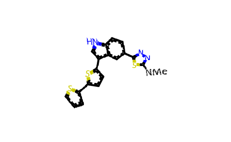 CNc1nnc(-c2ccc3[nH]cc(-c4ccc(-c5cccs5)s4)c3c2)s1